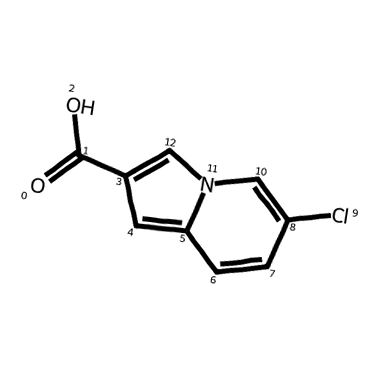 O=C(O)c1cc2ccc(Cl)cn2c1